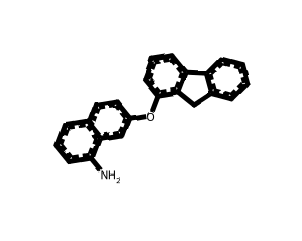 Nc1cccc2ccc(Oc3cccc4c3Cc3ccccc3-4)cc12